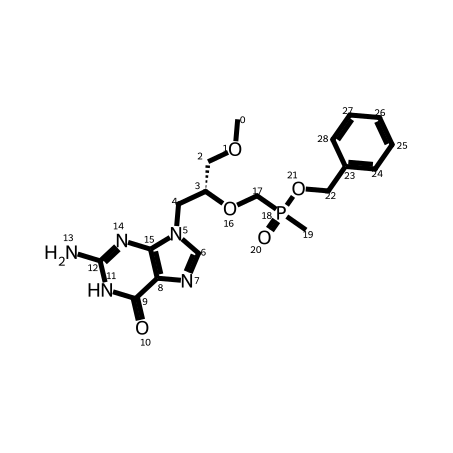 COC[C@@H](Cn1cnc2c(=O)[nH]c(N)nc21)OCP(C)(=O)OCc1ccccc1